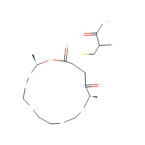 COC(=O)C(CS[C@@H]1CC(=O)[C@@H](OC(C)=O)CCCCCCCCC[C@@H](C)OC1=O)OC(C)=O